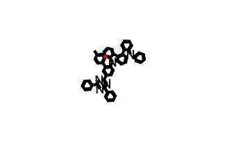 Cc1ccc(-c2cc(-c3nc(-c4ccccc4)nc(-c4ccccc4)n3)ccc2-n2c3ccccc3c3c4c5ccccc5n(-c5ccccc5)c4ccc32)cc1